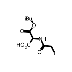 CCC(C)OC(=O)C(NC(=O)CI)C(=O)O